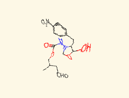 CC(CC=O)COC(=O)NN1COC(O)C1Cc1ccc([N+](=O)[O-])cc1